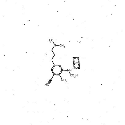 C#Cc1cc(SCCN(C)C)cc(NC(=O)O)c1[N+](=O)[O-].c1cc2ccc1-2